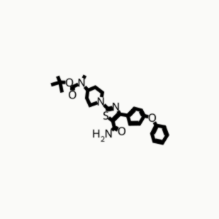 CN(C(=O)OC(C)(C)C)C1CCN(c2nc(-c3ccc(Oc4ccccc4)cc3)c(C(N)=O)s2)CC1